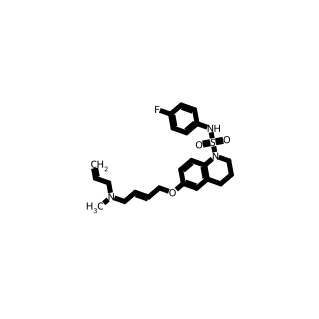 C=CCN(C)CC=CCOc1ccc2c(c1)CCCN2S(=O)(=O)Nc1ccc(F)cc1